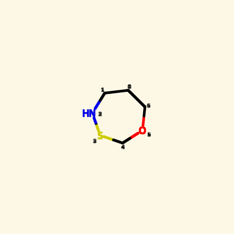 C1CNSCOC1